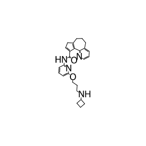 O=C(Nc1cccc(OCCCNC2CCC2)n1)C1=CCC2=C1c1ncccc1CCC2